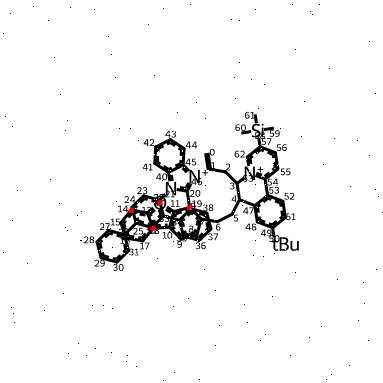 C=C1CC2C(CCc3ccc4c(oc5ccccc54)c3-c3n(-c4ccc(-c5ccccc5)cc4-c4ccccc4)c4ccccc4[n+]31)c1cc(C(C)(C)C)ccc1-c1ccc([Si](C)(C)C)c[n+]12